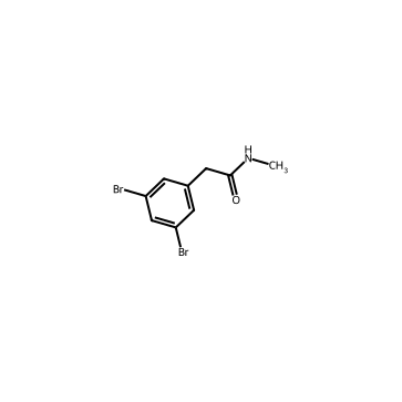 CNC(=O)Cc1cc(Br)cc(Br)c1